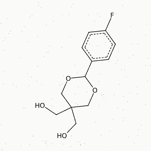 OCC1(CO)COC(c2ccc(F)cc2)OC1